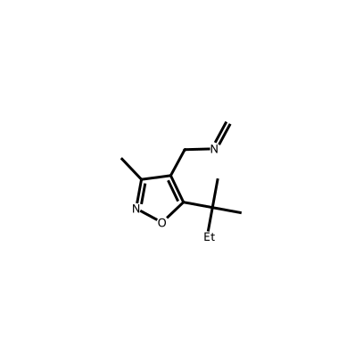 C=NCc1c(C)noc1C(C)(C)CC